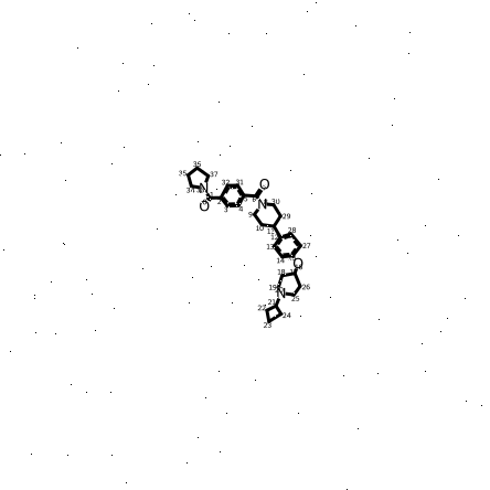 O=C(c1ccc(C(=O)N2CCC(c3ccc(OC4CCN(C5CCC5)CC4)cc3)CC2)cc1)N1CCCC1